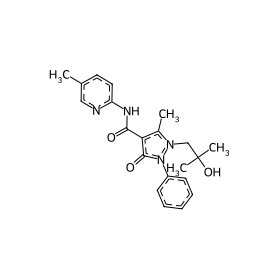 Cc1ccc(NC(=O)c2c(C)n(CC(C)(C)O)n(-c3ccccc3)c2=O)nc1